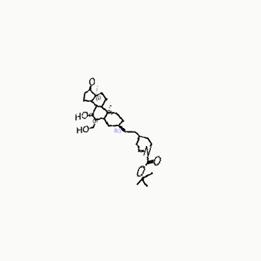 CC(C)(C)OC(=O)N1CCC(C/C=C2\CC[C@]3(C)C4CC[C@]5(C)C(=O)CCC5C4[C@H](O)[C@H](CO)C3C2)CC1